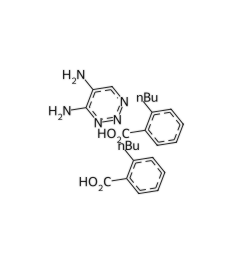 CCCCc1ccccc1C(=O)O.CCCCc1ccccc1C(=O)O.Nc1cnnnc1N